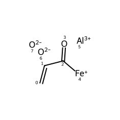 C=C[C](=O)[Fe+].[Al+3].[O-2].[O-2]